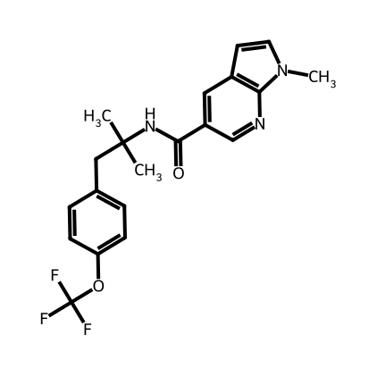 Cn1ccc2cc(C(=O)NC(C)(C)Cc3ccc(OC(F)(F)F)cc3)cnc21